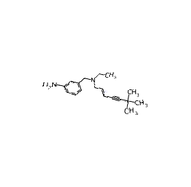 CCN(C/C=C/C#CC(C)(C)C)Cc1cccc(N)c1